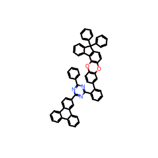 c1ccc(-c2nc(-c3ccc4c5ccccc5c5ccccc5c4c3)nc(-c3ccccc3-c3ccc4c(c3)Oc3ccc5c(c3O4)-c3ccccc3C5(c3ccccc3)c3ccccc3)n2)cc1